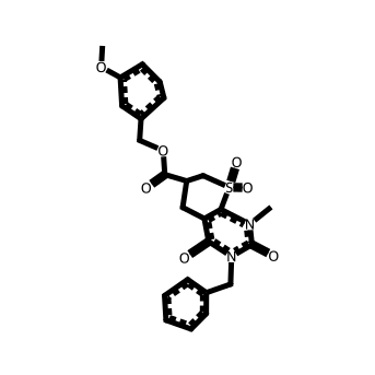 COc1cccc(COC(=O)C2Cc3c(n(C)c(=O)n(Cc4ccccc4)c3=O)S(=O)(=O)C2)c1